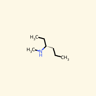 CCC[C@@H](CC)NC